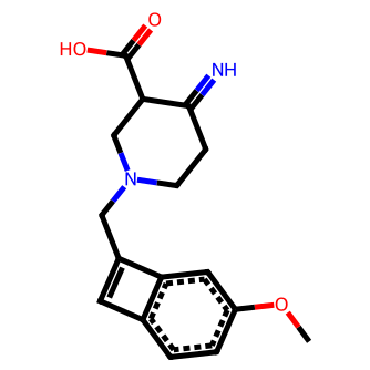 COc1ccc2c(c1)C(CN1CCC(=N)C(C(=O)O)C1)=C2